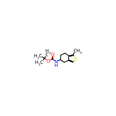 Cc1scc2c1CCC(NC(=O)OC(C)(C)C)C2